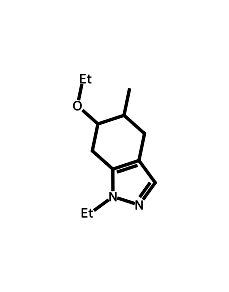 CCOC1Cc2c(cnn2CC)CC1C